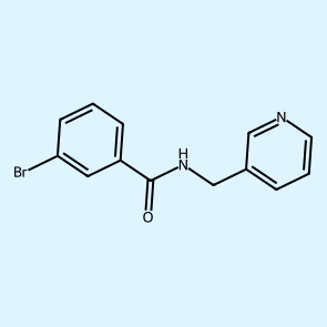 O=C(NCc1cccnc1)c1cccc(Br)c1